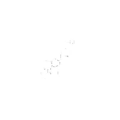 NC[C@H]1CN(c2cc(F)c(N3C4CCC3CSC4)c(F)c2)C(=O)O1